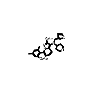 COc1cc(C)cc(C)c1-c1cccc2c(N(Cc3ccoc3)C3CCOCC3)c(SC)nn12